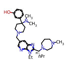 CCC[C@H](c1nc2cc(CN3CCC(c4cccc(O)c4)(N(C)C)CC3)cnc2n1CC)N1CCCN(C)CC1